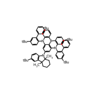 CC(C)(C)c1ccc(N2c3cc(C(C)(C)C)ccc3B3c4ccc(C(C)(C)C)cc4N(c4ccc(C(C)(C)C)cc4-c4ccccc4)c4cc(N5c6ccc(C(C)(C)C)cc6C6(C)CCCCC56C)cc2c43)c(-c2ccccc2)c1